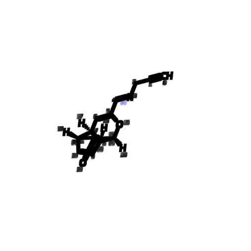 C#CC/N=C/C1=C[C@H]2[C@@H]3C=C[C@H]2C(=O)O[C@@H]3O1